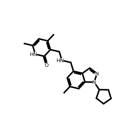 Cc1cc(CNCc2c(C)cc(C)[nH]c2=O)c2cnn(C3CCCC3)c2c1